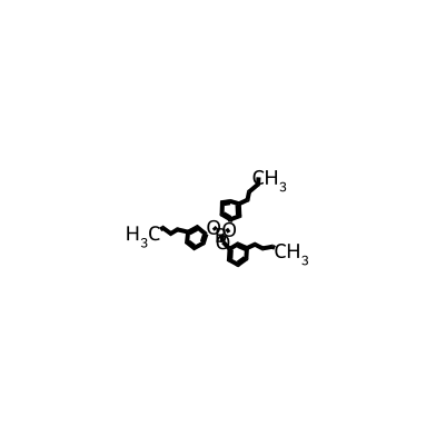 CCCCc1cccc(OB(Oc2cccc(CCCC)c2)Oc2cccc(CCCC)c2)c1